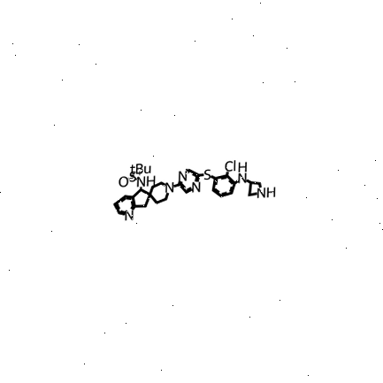 CC(C)(C)[S+]([O-])N[C@@H]1c2cccnc2CC12CCN(c1cnc(Sc3cccc(NC4CNC4)c3Cl)cn1)CC2